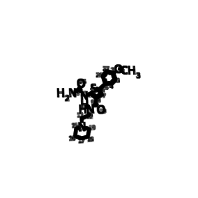 COc1ccc(-c2cc(C(=O)NCCN3CCCCC3)c(NC(N)=O)s2)cc1